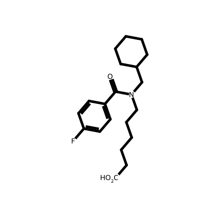 O=C(O)CCCCCN(CC1CCCCC1)C(=O)c1ccc(F)cc1